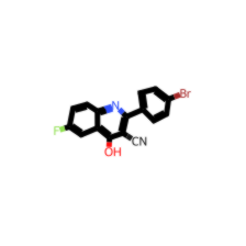 N#Cc1c(-c2ccc(Br)cc2)nc2ccc(F)cc2c1O